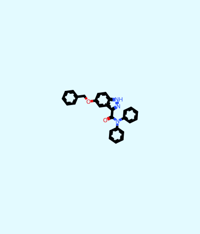 O=C(c1n[nH]c2ccc(OCc3ccccc3)cc12)N(c1ccccc1)c1ccccc1